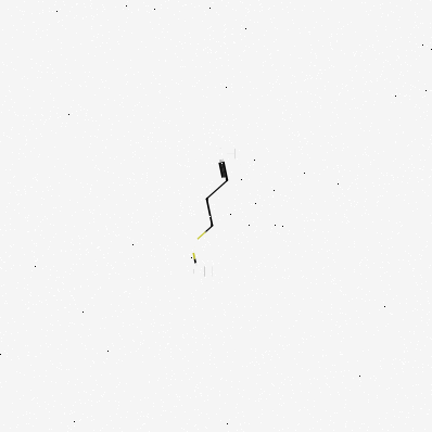 C=CCCSC